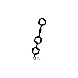 O=[C]c1ccc(-c2ccc(C#Cc3ccccc3)cc2)cc1